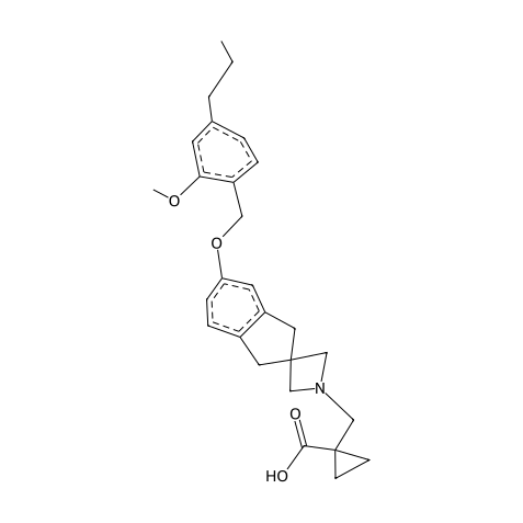 CCCc1ccc(COc2ccc3c(c2)CC2(C3)CN(CC3(C(=O)O)CC3)C2)c(OC)c1